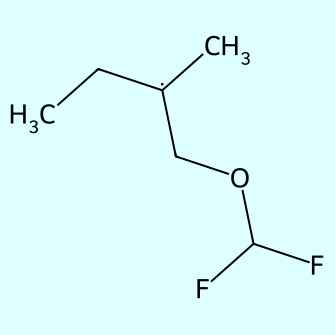 CC[C](C)COC(F)F